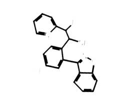 CCC(c1ccccn1)C(N)c1ccccc1-c1noc2ccccc12.Cl